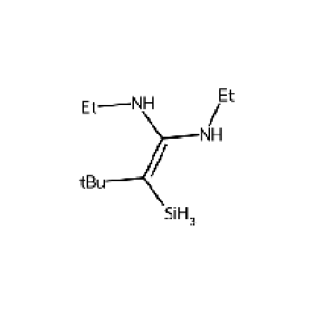 CCNC(NCC)=C([SiH3])C(C)(C)C